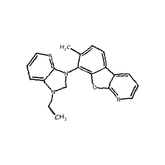 CCN1CN(c2c(C)ccc3c2oc2ncccc23)c2ncccc21